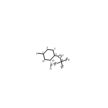 CC1CCC(OC(F)(F)F)[C@H](F)C1